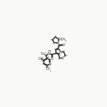 CC[C@@H](NC(=O)c1cc(C(=O)N2CCC[C@@H]2C)n2c1COCC2)c1cnc(C(F)(F)F)cc1Cl